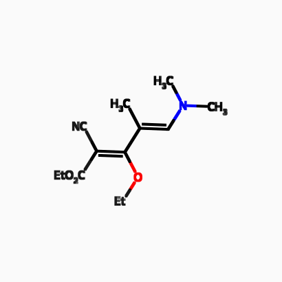 CCOC(=O)/C(C#N)=C(OCC)/C(C)=C/N(C)C